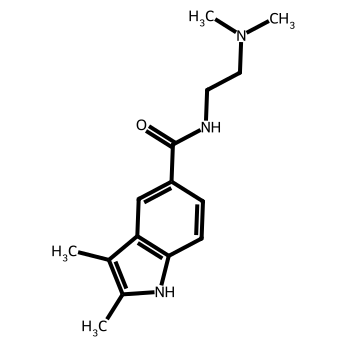 Cc1[nH]c2ccc(C(=O)NCCN(C)C)cc2c1C